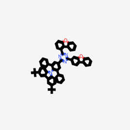 CC(C)(C)c1ccc2c(c1)c1cc(C(C)(C)C)ccc1n2-c1c(-c2ccccc2)cc(-c2nc(-c3ccc4c(c3)oc3ccccc34)nc(-c3cccc4oc5ccccc5c34)n2)cc1-c1ccccc1